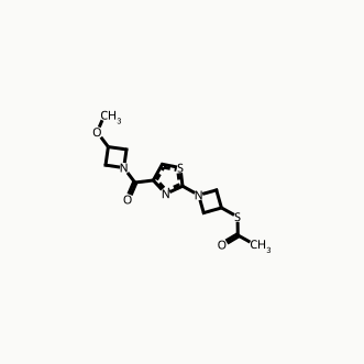 COC1CN(C(=O)c2csc(N3CC(SC(C)=O)C3)n2)C1